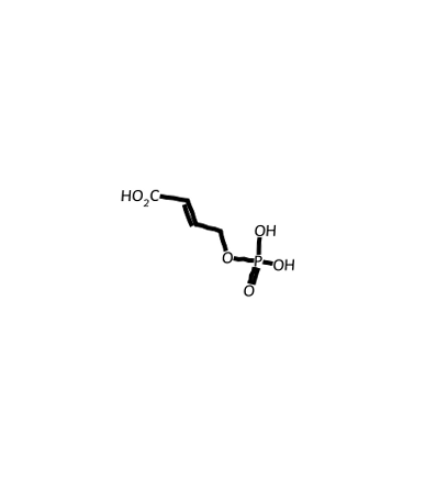 O=C(O)C=CCOP(=O)(O)O